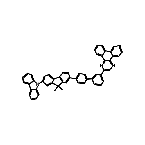 CC1(C)c2cc(-c3ccc(-c4cccc(-c5cnc6c7ccccc7c7ccccc7c6n5)c4)cc3)ccc2-c2ccc(-n3c4ccccc4c4ccccc43)cc21